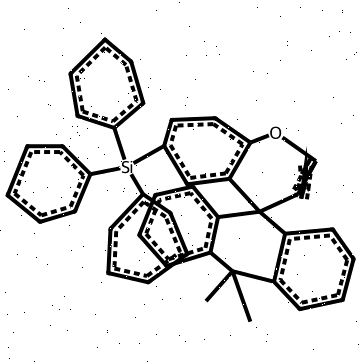 CC1(C)c2ccccc2C2(c3ccccc3Oc3ccc([Si](c4ccccc4)(c4ccccc4)c4ccccc4)cc32)c2ccccc21